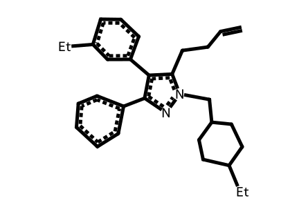 C=CCCc1c(-c2cccc(CC)c2)c(-c2ccccc2)nn1CC1CCC(CC)CC1